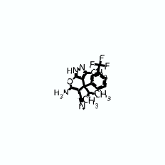 Cc1n[nH]c2c1C(c1cccc(C(F)(F)F)c1)(C(C)C)C(C#N)=C(N)O2